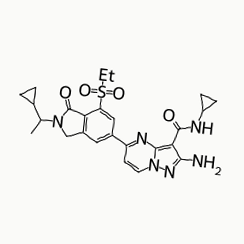 CCS(=O)(=O)c1cc(-c2ccn3nc(N)c(C(=O)NC4CC4)c3n2)cc2c1C(=O)N(C(C)C1CC1)C2